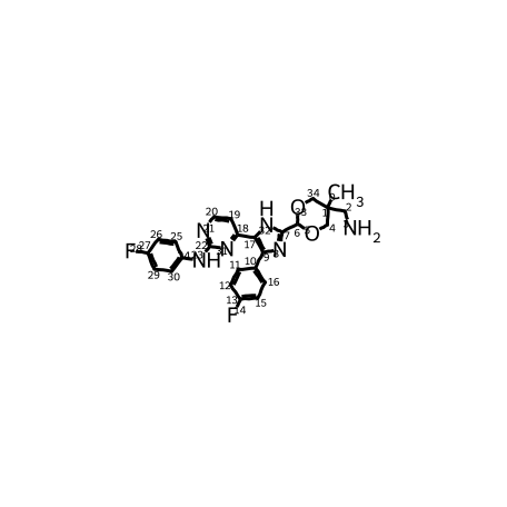 CC1(CN)COC(c2nc(-c3ccc(F)cc3)c(-c3ccnc(Nc4ccc(F)cc4)n3)[nH]2)OC1